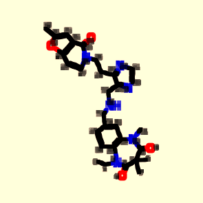 CCN1C(=O)C(C)(C)C(=O)N(C)c2cc(CNCc3nccnc3CCn3ccc4oc(C)cc4c3=O)ccc21